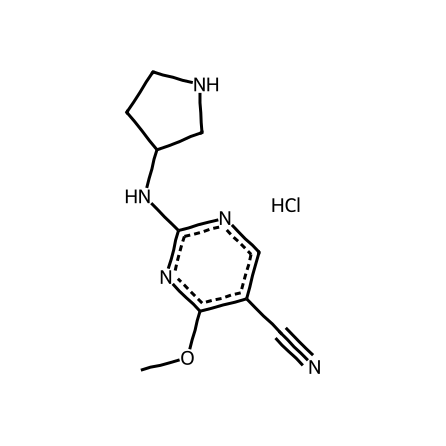 COc1nc(NC2CCNC2)ncc1C#N.Cl